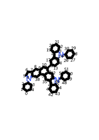 c1ccc(-n2ccc3cc4cc(-c5ccc6c(c5)c5ccccc5n6-c5ccccc5)c5cc6c(cc5c4cc32)c2ccccc2n6-c2ccccc2)cc1